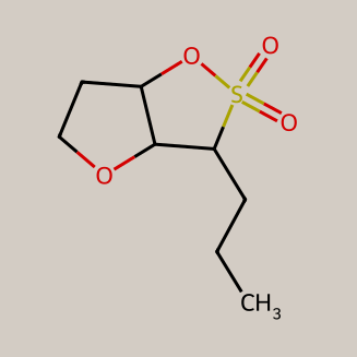 CCCC1C2OCCC2OS1(=O)=O